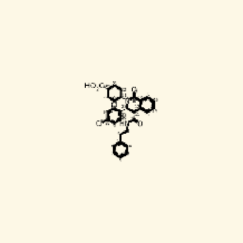 O=C(NCCc1ccccc1)[C@@H]1c2ccccc2C(=O)N([C@H]2CC[C@@H](C(=O)O)CC2)[C@H]1c1ccc(Cl)cc1Cl